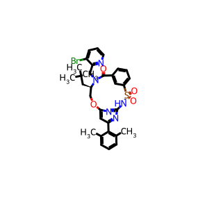 Cc1cccc(C)c1-c1cc2nc(n1)NS(=O)(=O)c1cccc(c1)C(=O)N(Cc1ncccc1Br)[C@H](CC(C)(C)C)CO2